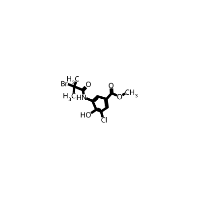 COC(=O)c1cc(Cl)c(O)c(NC(=O)C(C)(C)Br)c1